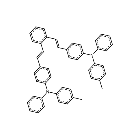 Cc1ccc(N(c2ccccc2)c2ccc(C=Cc3ccccc3C=Cc3ccc(N(c4ccccc4)c4ccc(C)cc4)cc3)cc2)cc1